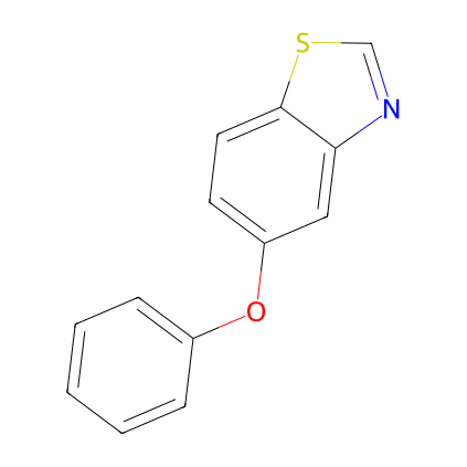 c1ccc(Oc2ccc3scnc3c2)cc1